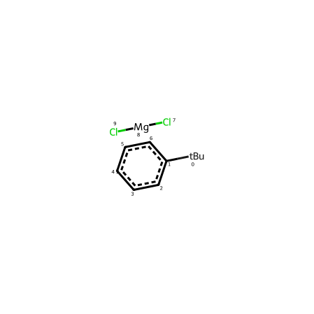 CC(C)(C)c1cc[c]cc1.[Cl][Mg][Cl]